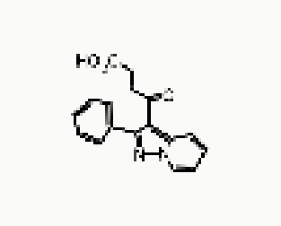 O=C(O)CCC(=O)c1c(-c2ccccc2)nn2ccccc12